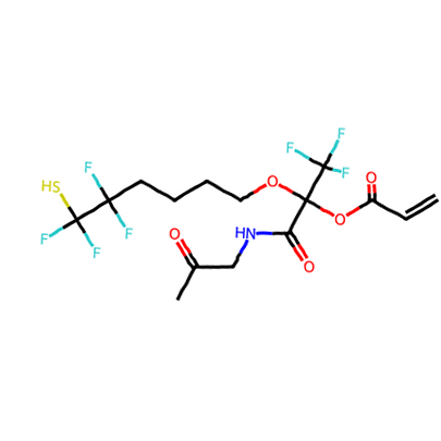 C=CC(=O)OC(OCCCCC(F)(F)C(F)(F)S)(C(=O)NCC(C)=O)C(F)(F)F